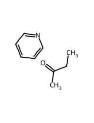 CCC(C)=O.c1ccncc1